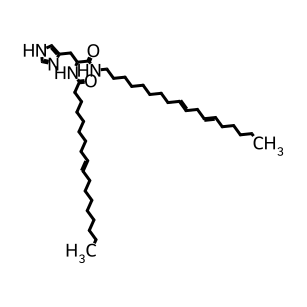 CCCCCC=CCC=CCCCCCCCCNC(=O)C(Cc1c[nH]cn1)NC(=O)CCCCCCCC=CCCCCCCCC